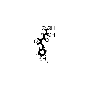 Cc1ccc(Cc2cocc2C(=O)C=C(O)C(=O)O)cc1